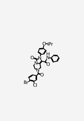 CC(C)Oc1ccc(-n2c(C(=O)Nc3ccccc3)c3n(c2=O)CCN(C(=O)c2ccc(Br)c(Cl)c2)C3)cc1